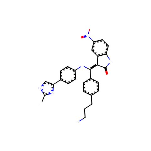 Cc1nc(-c2ccc(NC(=C3C(=O)Nc4ccc([N+](=O)[O-])cc43)c3ccc(CCCN)cc3)cc2)c[nH]1